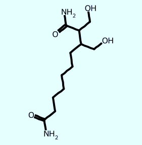 NC(=O)CCCCCCC(CO)C(CO)C(N)=O